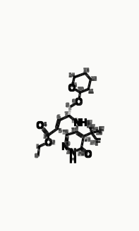 CCOC(=O)/C=C/[C@H](COC1CCCCO1)Nc1cn[nH]c(=O)c1C(F)(F)F